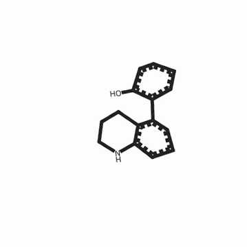 Oc1ccccc1-c1cccc2c1CCCN2